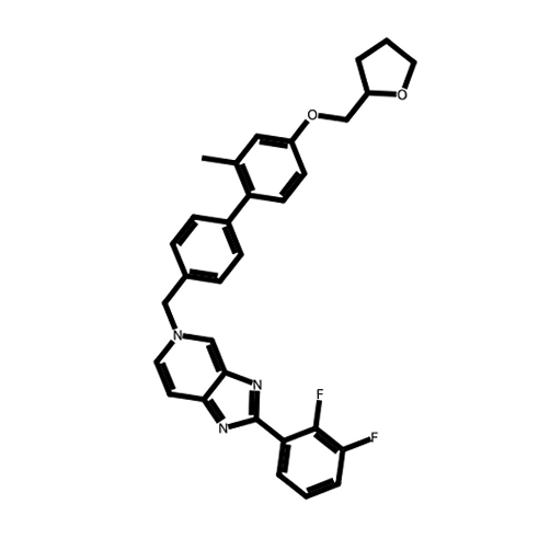 Cc1cc(OCC2CCCO2)ccc1-c1ccc(Cn2ccc3nc(-c4cccc(F)c4F)nc-3c2)cc1